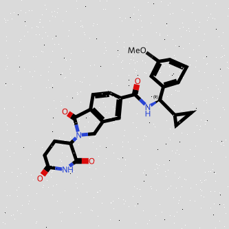 COc1cccc([C@H](NC(=O)c2ccc3c(c2)CN(C2CCC(=O)NC2=O)C3=O)C2CC2)c1